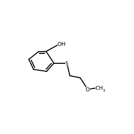 COCCSc1ccccc1O